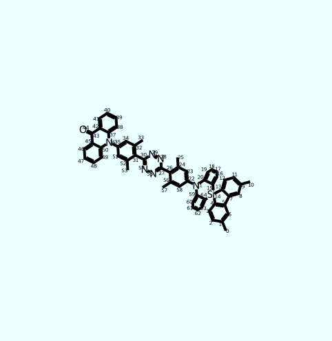 Cc1ccc2c(c1)-c1cc(C)ccc1[Si]21c2ccccc2N(c2cc(C)c(-c3nnc(-c4c(C)cc(-n5c6ccccc6c(=O)c6ccccc65)cc4C)nn3)c(C)c2)c2ccccc21